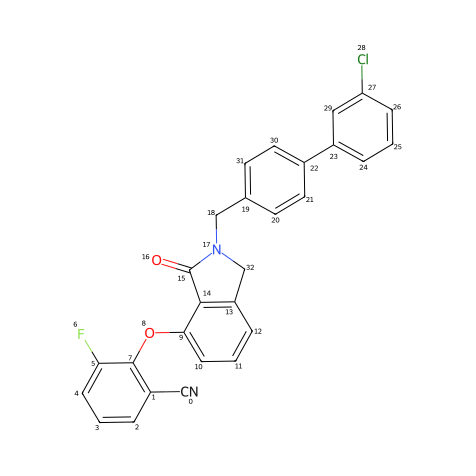 N#Cc1cccc(F)c1Oc1cccc2c1C(=O)N(Cc1ccc(-c3cccc(Cl)c3)cc1)C2